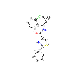 O=C(O)CC(NC(=O)c1csc(-c2ccccc2)n1)c1ccccc1Cl